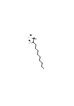 CCCCCCCCCC(F)C(F)(F)S(=O)(=O)[O-].[Li+]